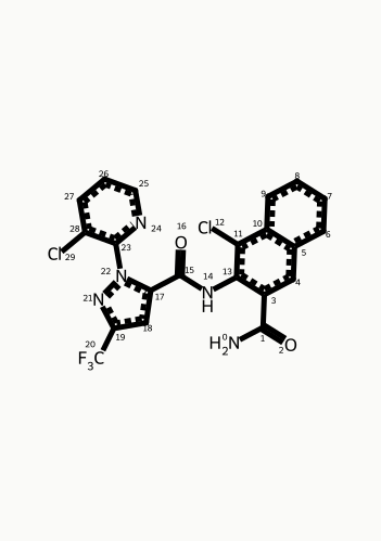 NC(=O)c1cc2ccccc2c(Cl)c1NC(=O)c1cc(C(F)(F)F)nn1-c1ncccc1Cl